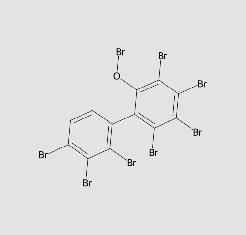 BrOc1c(Br)c(Br)c(Br)c(Br)c1-c1ccc(Br)c(Br)c1Br